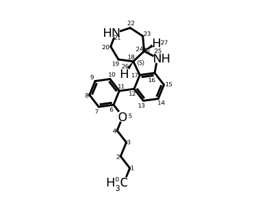 CCCCCOc1ccccc1-c1cccc2c1[C@@H]1CCNCC[C@@H]1N2